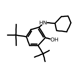 CC(C)(C)c1cc(NC2CCCCC2)c(O)c(C(C)(C)C)c1